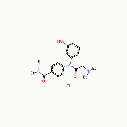 CCN(CC)CC(=O)N(c1ccc(C(=O)N(CC)CC)cc1)c1cccc(O)c1.Cl